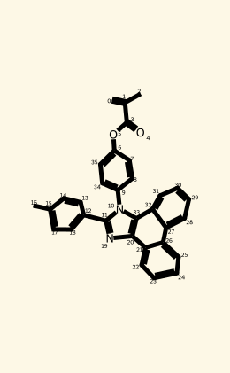 C=C(C)C(=O)Oc1ccc(-n2c(-c3ccc(C)cc3)nc3c4ccccc4c4ccccc4c32)cc1